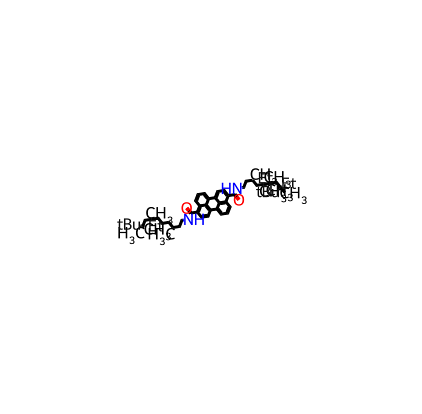 CCC(C)(CCCC(C)CCNC(=O)c1ccc2c3cccc4c(C(=O)NCCC(C)CC(C)(CC)C(C)(C)CC(C)(CC)C(C)(C)C)ccc(c5cccc1c25)c43)CC(C)(C)C(C)(C)C